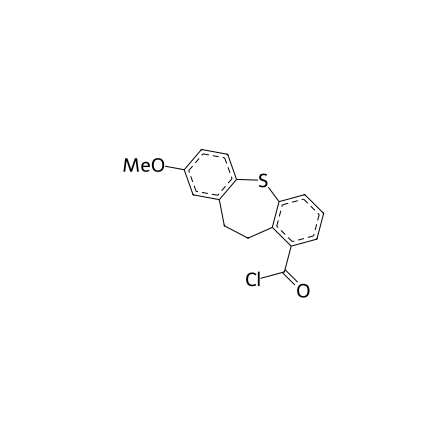 COc1ccc2c(c1)CCc1c(cccc1C(=O)Cl)S2